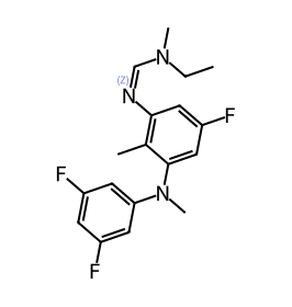 CCN(C)/C=N\c1cc(F)cc(N(C)c2cc(F)cc(F)c2)c1C